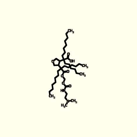 CCCCCCCCC(CCCCCC)(C(=O)O)C1COCC1C(CCCCCC)(CCCCCCCC)C(=O)OCOC(=O)NCCN(C)C